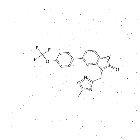 Cc1nc(Cn2c(=O)oc3ccc(-c4ccc(OC(F)(F)F)cc4)nc32)no1